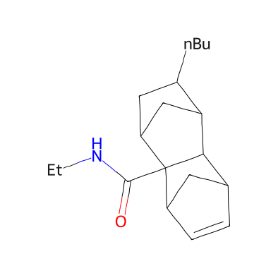 CCCCC1CC2CC1C1C3C=CC(C3)C21C(=O)NCC